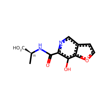 C[C@H](NC(=O)c1ncc2ccoc2c1O)C(=O)O